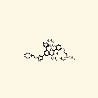 Cc1ccc(OCCN(C)C)cc1C(=O)N[C@H](C)c1cc(-c2cnn(C)c2)cc(-c2cnn(CCN3CCOCC3)c2)c1